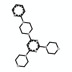 c1ccc(N2CCN(c3cc(N4CCOCC4)nc(N4CCOCC4)n3)CC2)nc1